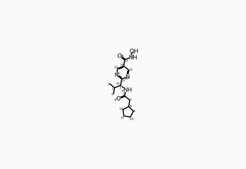 CC(C)[C@H](NC(=O)CC1CCCC1)c1ncc(C(=O)NO)cn1